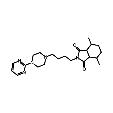 CC1CCC(C)C2C(=O)N(CCCCN3CCN(c4ncccn4)CC3)C(=O)C12